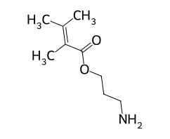 CC(C)=C(C)C(=O)OCCCN